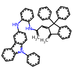 C=C(/C=C1\C(=C)c2ccccc2C1(c1ccccc1)c1ccccc1)Nc1ccccc1Nc1ccc2c(c1)c1ccccc1n2-c1ccccc1